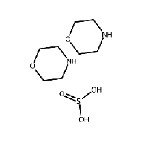 C1COCCN1.C1COCCN1.O=[Si](O)O